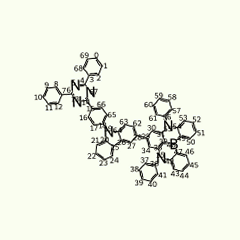 c1ccc(-c2nc(-c3ccccc3)nc(-c3ccc(-n4c5ccccc5c5cc(-c6cc7c8c(c6)N(c6ccccc6)c6ccccc6B8c6ccccc6N7c6ccccc6)ccc54)cc3)n2)cc1